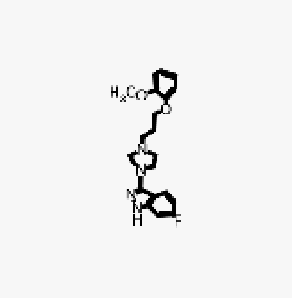 COc1c[c]ccc1OCCCN1CCN(c2n[nH]c3cc(F)ccc23)CC1